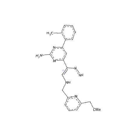 COCc1cccc(CN/C=C(\N=N)c2cc(-c3ccccc3C)nc(N)n2)n1